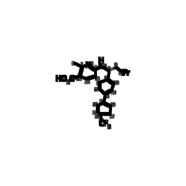 Cc1nc(N[C@H](CC(C)C)c2ccc(-c3ccc(C(F)(F)F)cc3)cc2)ccc1C(=O)O